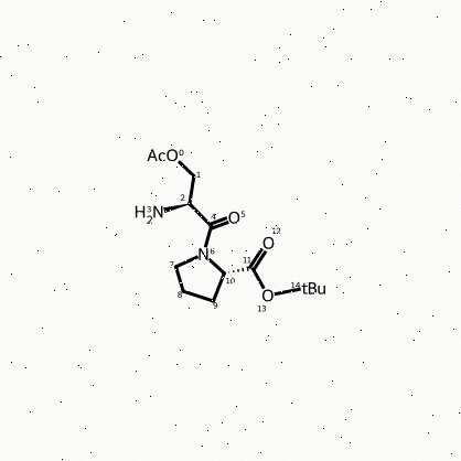 CC(=O)OC[C@H](N)C(=O)N1CCC[C@H]1C(=O)OC(C)(C)C